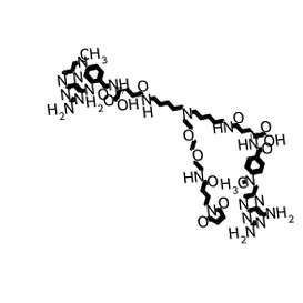 CN(Cc1cnc2nc(N)nc(N)c2n1)c1ccc(C(=O)N[C@@H](CCC(=O)NCCCCCN(CCCCCNC(=O)CC[C@H](NC(=O)c2ccc(N(C)Cc3cnc4nc(N)nc(N)c4n3)cc2)C(=O)O)CCOCCOCCNC(=O)CCCN2C(=O)C=CC2=O)C(=O)O)cc1